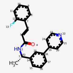 C[C@H](NC(=O)C=Cc1ccccc1F)c1cccc(-c2ccncc2)c1